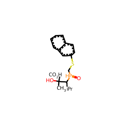 CC(C)C([PH](=O)CSc1ccc2ccccc2c1)C(C)(O)C(=O)O